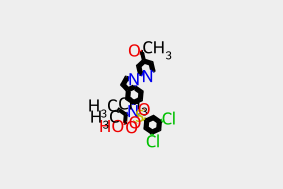 CC(=O)c1ccnc(-n2ccc3cc(N(C(C(=O)O)C(C)(C)C)S(=O)(=O)c4cc(Cl)cc(Cl)c4)ccc32)c1